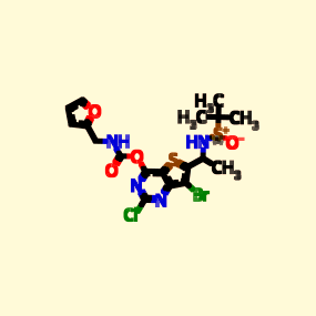 CC(N[S@+]([O-])C(C)(C)C)c1sc2c(OC(=O)NCc3ccco3)nc(Cl)nc2c1Br